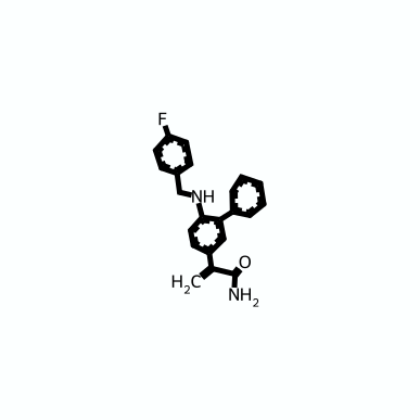 C=C(C(N)=O)c1ccc(NCc2ccc(F)cc2)c(-c2ccccc2)c1